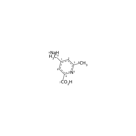 Cc1cc(C)nc(C(=O)O)c1.[NaH]